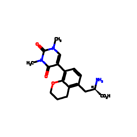 Cn1cc(-c2ccc(C[C@H](N)C(=O)O)c3c2OCCC3)c(=O)n(C)c1=O